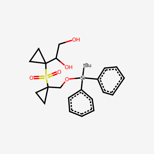 CC(C)(C)[Si](OCC1(S(=O)(=O)C2(C(O)CO)CC2)CC1)(c1ccccc1)c1ccccc1